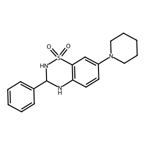 O=S1(=O)NC(c2ccccc2)Nc2ccc(N3CCCCC3)cc21